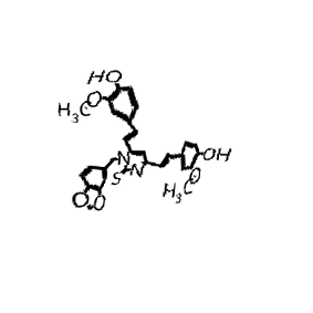 COc1cc(/C=C/c2cc(/C=C/c3ccc(O)c(OC)c3)n(Cc3ccc4c(c3)OCO4)c(=S)n2)ccc1O